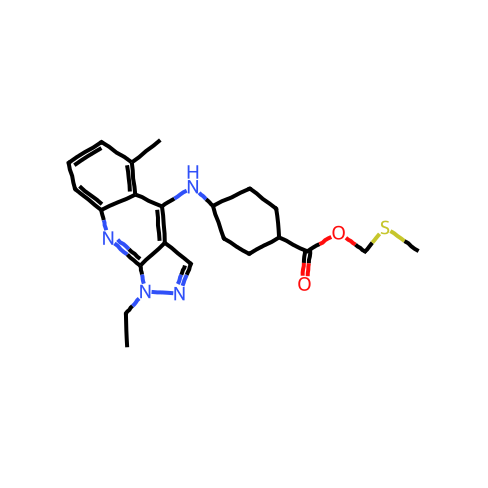 CCn1ncc2c(NC3CCC(C(=O)OCSC)CC3)c3c(C)cccc3nc21